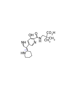 CC(C)(CNC(=O)c1ncc(/C(C=N)=C2\CCCCN2)cc1O)C(=O)O